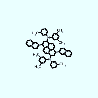 Cc1cccc(N(c2cc(C)cc(C)c2)c2cc(-c3ccc4ccccc4c3)c3ccc4c(N(c5cccc(C)c5)c5cc(C)cc(C)c5)cc(-c5ccc6ccccc6c5)c5ccc2c3c54)c1